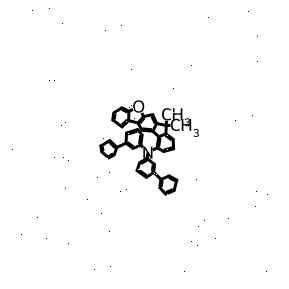 CC1(C)c2cc3oc4ccccc4c3cc2-c2c(N(c3cccc(-c4ccccc4)c3)c3cccc(-c4ccccc4)c3)cccc21